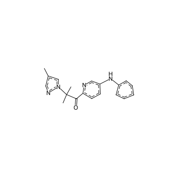 Cc1cnn(C(C)(C)C(=O)c2ccc(Nc3ccccc3)cn2)c1